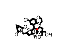 O=C1C2CC2C(=O)N1Cc1cc2nccc(-c3cc(Cl)cc4c3N([C@H]3CNC(CO)(CO)C3)CCO4)c2s1